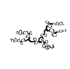 CCCCCCCCC(=O)OCC(COC(=O)CCCCCCCC)CC(=O)O[C@@H]1C[C@H](OC(=O)CC(COC(=O)CCCCCCCC)COC(=O)CCCCCCCC)CN(C(=O)OC(C)(C)C)C1